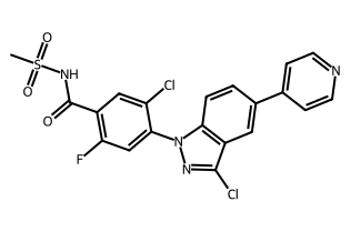 CS(=O)(=O)NC(=O)c1cc(Cl)c(-n2nc(Cl)c3cc(-c4ccncc4)ccc32)cc1F